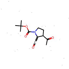 CC(=O)C1CCN(C(=O)OC(C)(C)C)C1=C=O